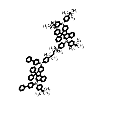 CC(C)(C)c1ccc(N(c2ccc(S(C)(C)C)cc2)c2ccc3c(c2)C(c2ccccc2)(c2ccccc2)c2cc(N(c4ccc(C(C)(C)C)cc4)c4ccc([Si](C)(C)CCC(C)(C)c5ccc(N(c6ccc(-c7ccccc7)cc6)c6ccc7c(c6)C(c6ccccc6)(c6ccccc6)c6cc(N(c8ccc(-c9ccccc9)cc8)c8ccc(C(C)(C)C)cc8)c8ccccc8c6-7)cc5)cc4)c4ccccc4c2-3)cc1